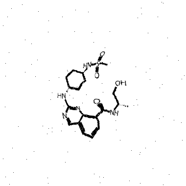 C[C@@H](CO)NC(=O)c1cccc2cnc(N[C@H]3CC[C@H](NS(C)(=O)=O)CC3)nc12